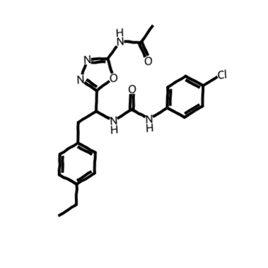 CCc1ccc(CC(NC(=O)Nc2ccc(Cl)cc2)c2nnc(NC(C)=O)o2)cc1